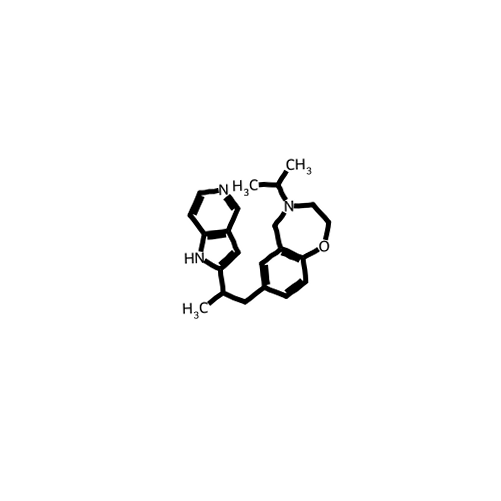 CC(Cc1ccc2c(c1)CN(C(C)C)CCO2)c1cc2cnccc2[nH]1